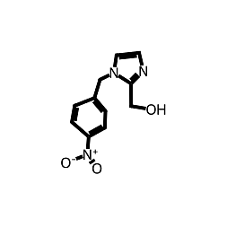 O=[N+]([O-])c1ccc(Cn2ccnc2CO)cc1